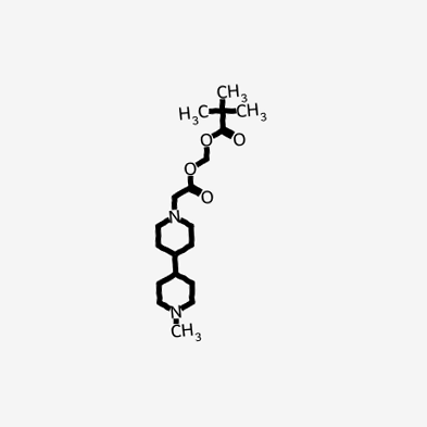 CN1CCC(C2CCN(CC(=O)OCOC(=O)C(C)(C)C)CC2)CC1